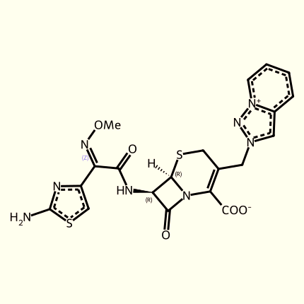 CO/N=C(\C(=O)N[C@@H]1C(=O)N2C(C(=O)[O-])=C(Cn3cc4cccc[n+]4n3)CS[C@H]12)c1csc(N)n1